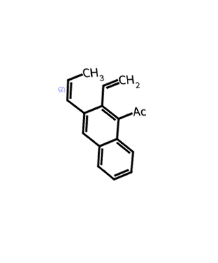 C=Cc1c(/C=C\C)cc2ccccc2c1C(C)=O